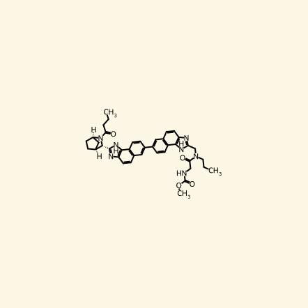 CCCC(=O)N1[C@@H]2CC[C@@H](C2)[C@H]1c1nc2ccc3cc(-c4ccc5c(ccc6nc(CN(CCC)C(=O)CNC(=O)OC)[nH]c65)c4)ccc3c2[nH]1